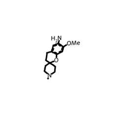 COc1cc2c(cc1N)CCC1(CCN(C)CC1)O2